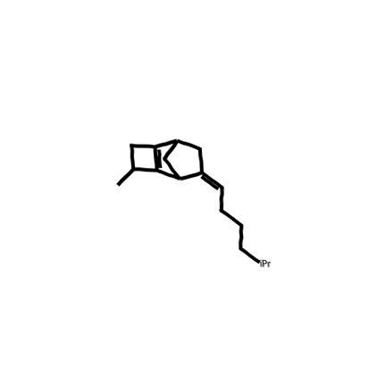 CC(C)CCCC=C1CC2CC1C1=C2CC1C